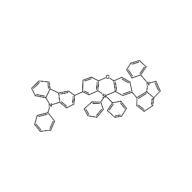 c1ccc(-n2ccc3cccc(-c4ccc5c(c4)[Si](c4ccccc4)(c4ccccc4)c4cc(-c6ccc7c(c6)c6ccccc6n7-c6ccccc6)ccc4O5)c32)cc1